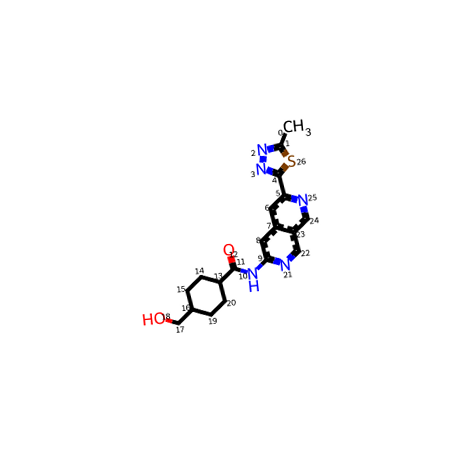 Cc1nnc(-c2cc3cc(NC(=O)C4CCC(CO)CC4)ncc3cn2)s1